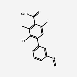 C=Nc1cccc(-c2cc(F)c(C(=O)OC)c(C)c2CC)c1